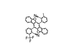 Cc1cccc(-c2c3oc4ccccc4c3c(-c3cccc(C(F)(F)F)c3C#N)c3oc4ccccc4c23)c1C#N